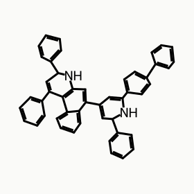 C1=C(c2ccc(-c3ccccc3)cc2)NC(c2ccccc2)C=C1c1cc2c(c3ccccc13)C(c1ccccc1)=CC(c1ccccc1)N2